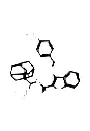 O=C(NC(C(=O)O)C12CC3CC(CC(C3)C1)C2)c1sc2ccccc2c1OCc1ccc(C(F)(F)F)cc1